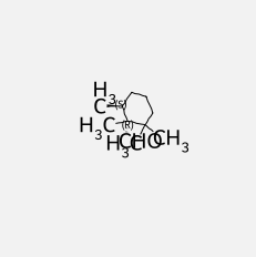 C[C@H]1CCCC(C)(C)[C@]1(C)C=O